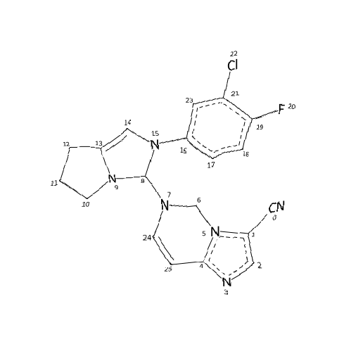 N#Cc1cnc2n1CN(C1N3CCCC3=CN1c1ccc(F)c(Cl)c1)C=C2